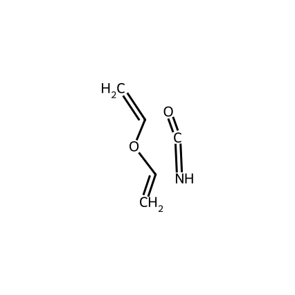 C=COC=C.N=C=O